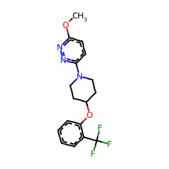 COc1ccc(N2CCC(Oc3ccccc3C(F)(F)F)CC2)nn1